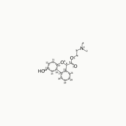 CN(C)CCOC(=O)C1Oc2ccc(O)cc2-c2ccccc21